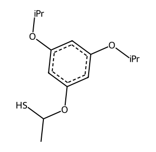 CC(C)Oc1cc(OC(C)C)cc(OC(C)S)c1